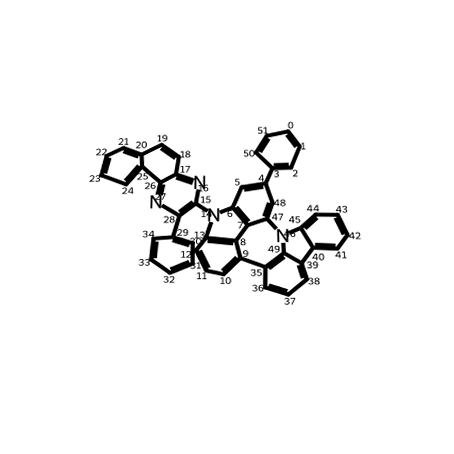 c1ccc(-c2cc3c4c5c(cccc5n3-c3nc5ccc6ccccc6c5nc3-c3ccccc3)c3cccc5c6ccccc6n(c4c2)c35)cc1